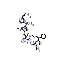 C=C(C=CC=C(C(/C=C\C)=C/C=C\C)c1ccccc1)/C=C\C(C=CC(/C=C\C(=C/C)N(C)C(/C=C\C)=C/C=C\C)=C/C)=C/C